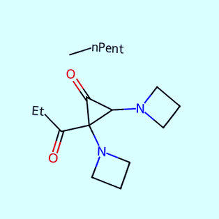 CCC(=O)C1(N2CCC2)C(=O)C1N1CCC1.CCCCCC